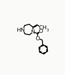 C/C=C1/CCNCCN1C(=O)OCc1ccccc1